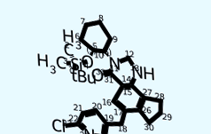 CC(C)(C)[Si](C)(C)O[C@H]1CCCC[C@@H]1N1CNc2c(cc(Cc3ccc(Cl)nc3)c3c2CCC3)C1=O